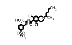 C=CCCC(C)N1CCc2c(cc(Cl)c(C(=O)N[C@@H](Cc3cccc(S(C)(=O)=O)c3)C(=O)O)c2Cl)C1